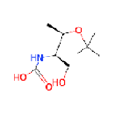 C[C@@H](OC(C)(C)C)[C@@H](CO)NC(=O)O